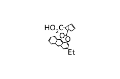 CCc1ccc2c(OC(=O)C3C4C=CC(C4)C3C(=O)O)c3ccccc3cc2c1